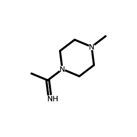 CC(=N)N1CCN(C)CC1